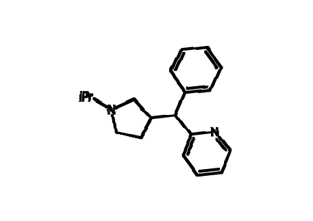 CC(C)N1CCC(C(c2ccccc2)c2ccccn2)C1